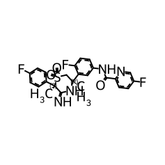 C[C@@]1(c2cc(NC(=O)c3ccc(F)cn3)ccc2F)CS(=O)(=O)[C@@](C)(c2ccc(F)cc2)C(=N)N1